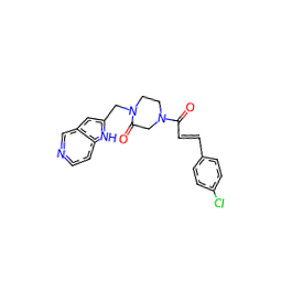 O=C(C=Cc1ccc(Cl)cc1)N1CCN(Cc2cc3cnccc3[nH]2)C(=O)C1